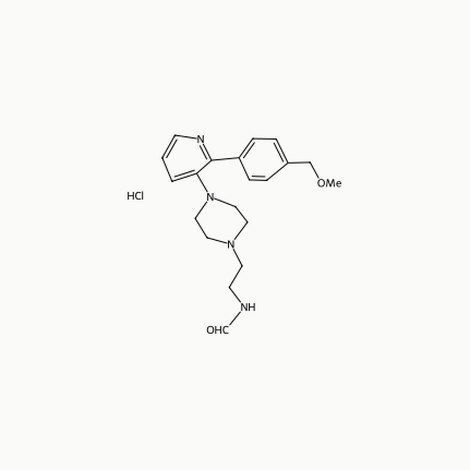 COCc1ccc(-c2ncccc2N2CCN(CCNC=O)CC2)cc1.Cl